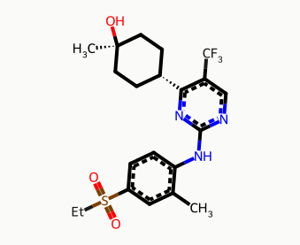 CCS(=O)(=O)c1ccc(Nc2ncc(C(F)(F)F)c([C@H]3CC[C@](C)(O)CC3)n2)c(C)c1